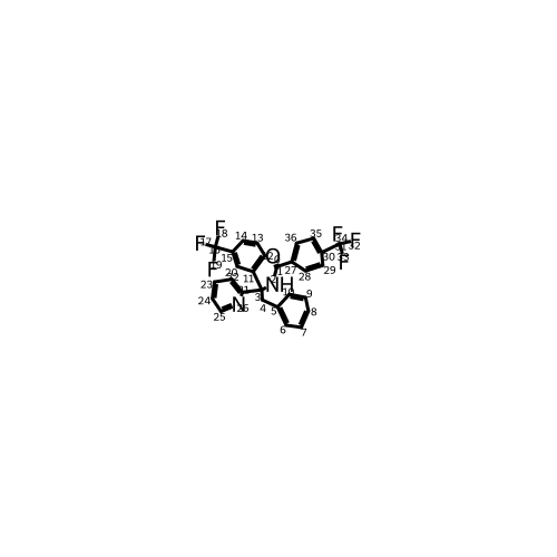 O=C(NC(Cc1ccccc1)(c1cccc(C(F)(F)F)c1)c1ccccn1)c1ccc(C(F)(F)F)cc1